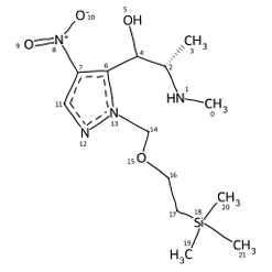 CN[C@@H](C)C(O)c1c([N+](=O)[O-])cnn1COCC[Si](C)(C)C